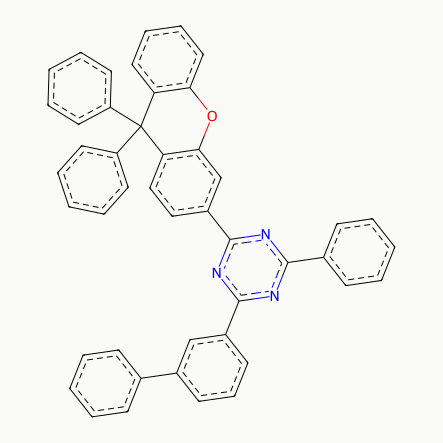 c1ccc(-c2cccc(-c3nc(-c4ccccc4)nc(-c4ccc5c(c4)Oc4ccccc4C5(c4ccccc4)c4ccccc4)n3)c2)cc1